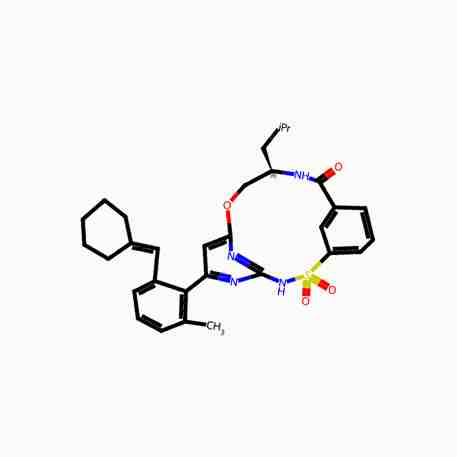 Cc1cccc(C=C2CCCCC2)c1-c1cc2nc(n1)NS(=O)(=O)c1cccc(c1)C(=O)N[C@H](CC(C)C)CO2